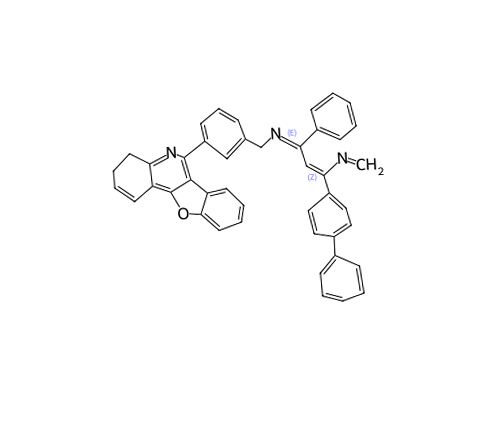 C=N/C(=C\C(=N/Cc1cccc(-c2nc3c(c4oc5ccccc5c24)C=CCC3)c1)c1ccccc1)c1ccc(-c2ccccc2)cc1